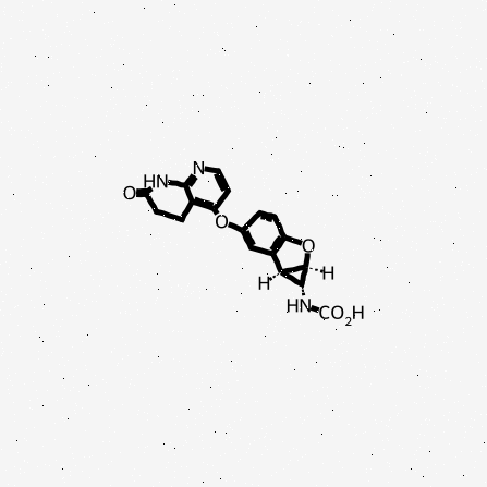 O=C(O)N[C@H]1[C@@H]2Oc3ccc(Oc4ccnc5c4CCC(=O)N5)cc3[C@H]12